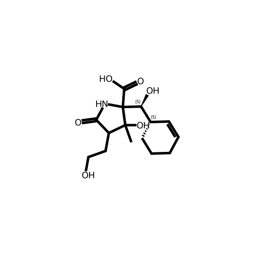 CC1(O)C(CCO)C(=O)NC1(C(=O)O)[C@@H](O)[C@@H]1C=CCCC1